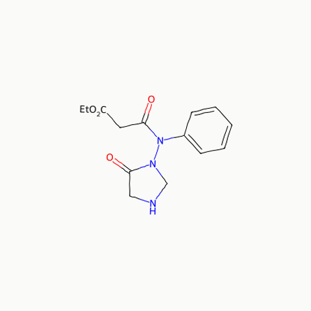 CCOC(=O)CC(=O)N(c1ccccc1)N1CNCC1=O